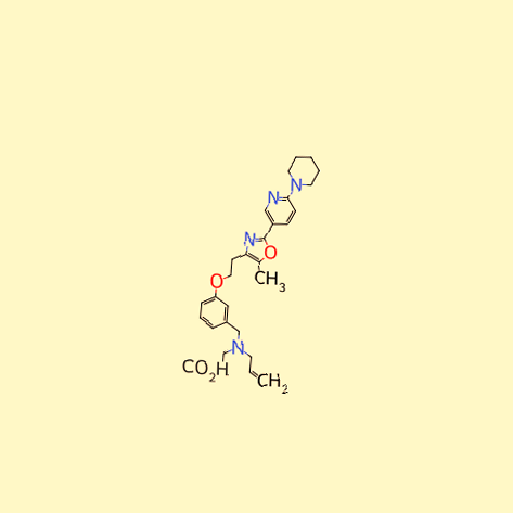 C=CCN(CC(=O)O)Cc1cccc(OCCc2nc(-c3ccc(N4CCCCC4)nc3)oc2C)c1